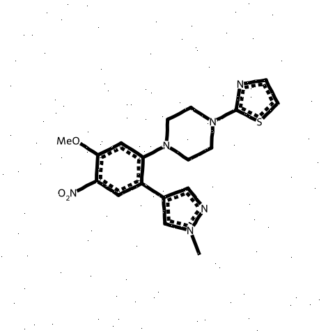 COc1cc(N2CCN(c3nccs3)CC2)c(-c2cnn(C)c2)cc1[N+](=O)[O-]